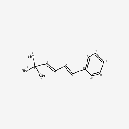 CCCC(O)(O)C=CC=Cc1ccccc1